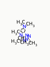 CCc1nnc2n1N=C(C(C)(C)C)/C2=N/c1ccc(N(CC)CC)cc1C